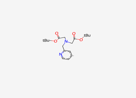 CC(C)(C)OC(=O)CN(CC(=O)OC(C)(C)C)Cc1c[c]ccn1